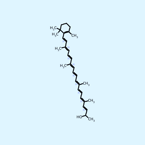 CC1=C(/C=C/C(C)=C/C=C/C(C)=C/C=C/C=C(C)/C=C/C=C(C)/C=C/C(C)O)C(C)(C)CCC1